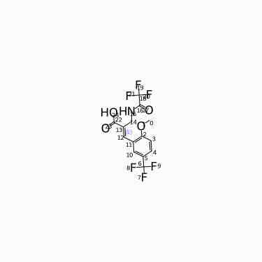 COc1ccc(C(F)(F)F)cc1/C=C(\CNC(=O)C(F)(F)F)C(=O)O